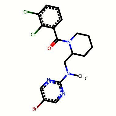 CN(CC1CCCCN1C(=O)c1cccc(Cl)c1Cl)c1ncc(Br)cn1